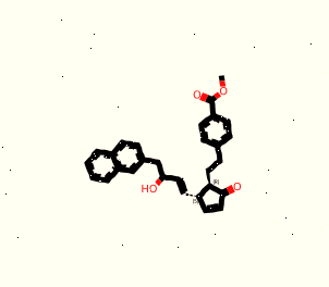 COC(=O)c1ccc(CC[C@H]2C(=O)C=C[C@@H]2C=CC(O)Cc2ccc3ccccc3c2)cc1